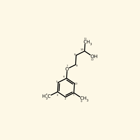 Cc1[c]c(C)cc(OCCC(C)O)c1